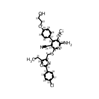 [C-]#[N+]c1c(N)nc(SCc2nc(-c3ccc(Cl)cc3)oc2CC)c(C#N)c1-c1ccc(OCCO)cc1